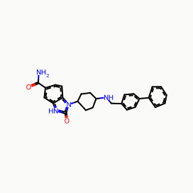 NC(=O)c1ccc2c(c1)[nH]c(=O)n2C1CCC(NCc2ccc(-c3ccccc3)cc2)CC1